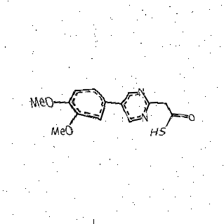 COc1ccc(-c2cnc(CC(=O)S)nc2)cc1OC